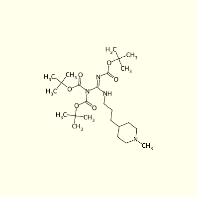 CN1CCC(CCCNC(=NC(=O)OC(C)(C)C)N(C(=O)OC(C)(C)C)C(=O)OC(C)(C)C)CC1